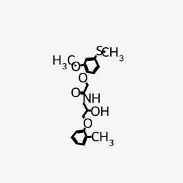 COc1cc(SC)ccc1OCC(=O)NCC(O)COc1ccccc1C